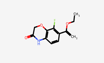 C=C(OCC)c1ccc2c(c1F)OCC(=O)N2